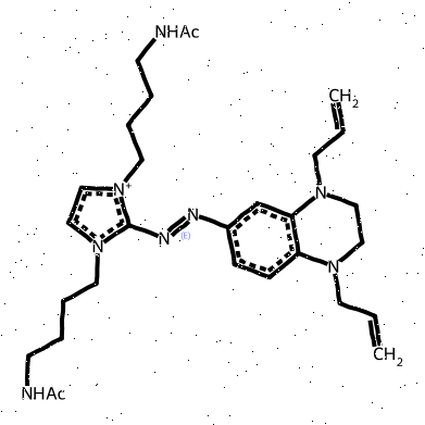 C=CCN1CCN(CC=C)c2cc(/N=N/c3n(CCCCNC(C)=O)cc[n+]3CCCCNC(C)=O)ccc21